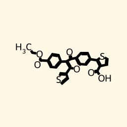 CCOC(=O)c1ccc(-c2c(-c3ccsc3)oc3cc(-c4sccc4C(=O)O)ccc3c2=O)cc1